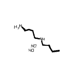 CCCCNCCCN.Cl.Cl